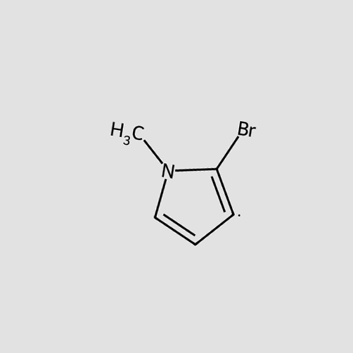 Cn1cc[c]c1Br